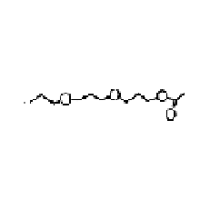 [CH2]CCOCCCOCCCOC(C)=O